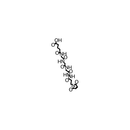 O=C(O)CCCC(=O)NCC(=O)NCC(=O)NCC(=O)NNC(=O)CCN1C(=O)C=CC1=O